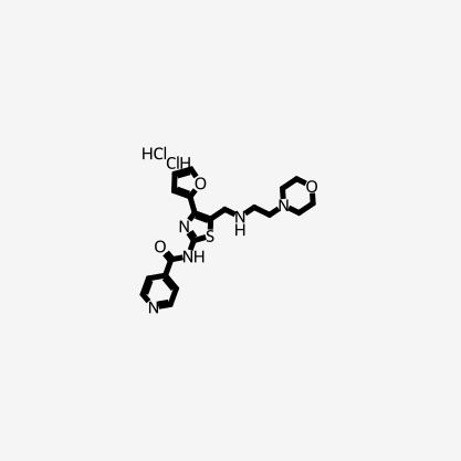 Cl.Cl.O=C(Nc1nc(-c2ccco2)c(CNCCN2CCOCC2)s1)c1ccncc1